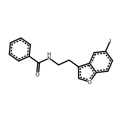 O=C(NCCc1coc2ccc(I)cc12)c1ccccc1